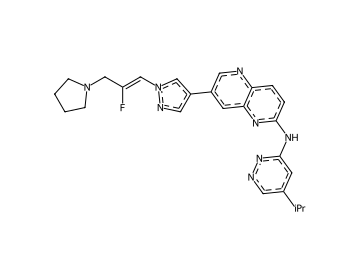 CC(C)c1cnnc(Nc2ccc3ncc(-c4cnn(/C=C(\F)CN5CCCC5)c4)cc3n2)c1